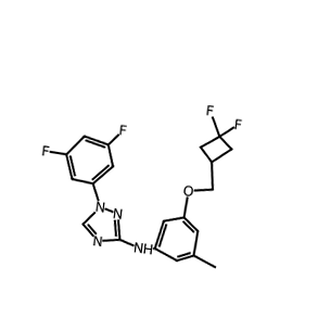 Cc1cc(Nc2ncn(-c3cc(F)cc(F)c3)n2)cc(OCC2CC(F)(F)C2)c1